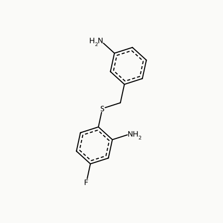 Nc1cccc(CSc2ccc(F)cc2N)c1